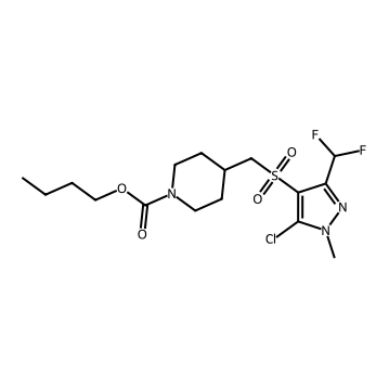 CCCCOC(=O)N1CCC(CS(=O)(=O)c2c(C(F)F)nn(C)c2Cl)CC1